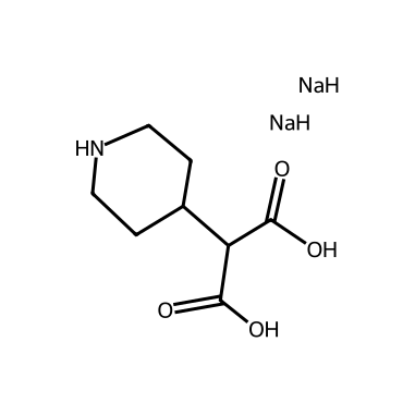 O=C(O)C(C(=O)O)C1CCNCC1.[NaH].[NaH]